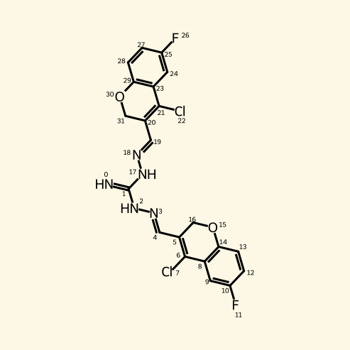 N=C(N/N=C/C1=C(Cl)c2cc(F)ccc2OC1)N/N=C/C1=C(Cl)c2cc(F)ccc2OC1